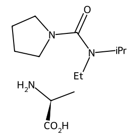 CCN(C(=O)N1CCCC1)C(C)C.C[C@H](N)C(=O)O